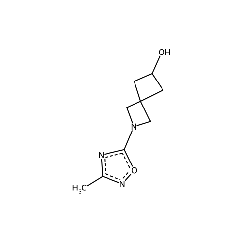 Cc1noc(N2CC3(CC(O)C3)C2)n1